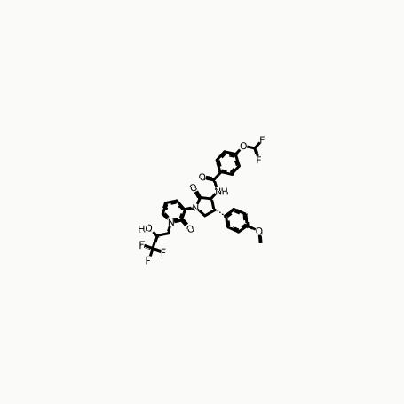 COc1ccc([C@@H]2CN(c3cccn(CC(O)C(F)(F)F)c3=O)C(=O)C2NC(=O)c2ccc(OC(F)F)cc2)cc1